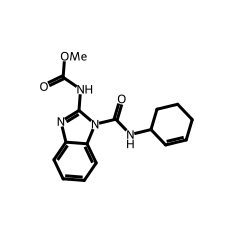 COC(=O)Nc1nc2ccccc2n1C(=O)NC1C=CCCC1